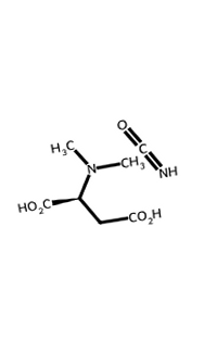 CN(C)[C@@H](CC(=O)O)C(=O)O.N=C=O